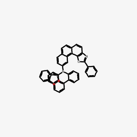 c1ccc(-c2nc3ccc4ccc5ccc(N(c6ccccc6)c6ccccc6-c6cccc7c6sc6ccccc67)cc5c4c3o2)cc1